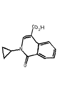 O=C(O)c1cn(C2CC2)c(=O)c2ccccc12